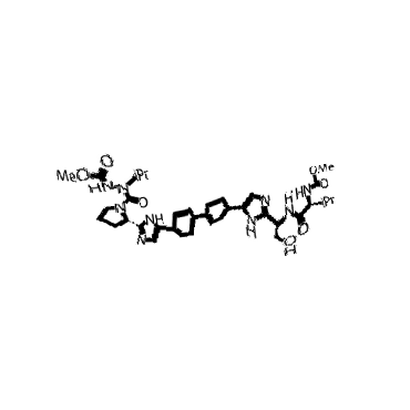 COC(=O)N[C@H](C(=O)N[C@@H](CO)c1ncc(-c2ccc(-c3ccc(-c4cnc([C@@H]5CCCN5C(=O)N(NC(=O)OC)C(C)C)[nH]4)cc3)cc2)[nH]1)C(C)C